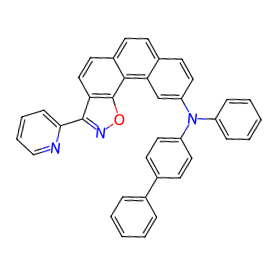 c1ccc(-c2ccc(N(c3ccccc3)c3ccc4ccc5ccc6c(-c7ccccn7)noc6c5c4c3)cc2)cc1